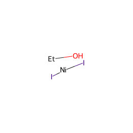 CCO.[I][Ni][I]